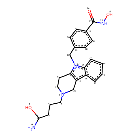 NC(O)CCCN1CCc2c(c3ccccc3n2Cc2ccc(C(=O)NO)cc2)C1